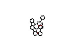 Clc1nc(-c2ccccc2)nc(-n2c3ccccc3c3ccc4c5ccccc5n(-c5ccccc5-c5ccccc5)c4c32)n1